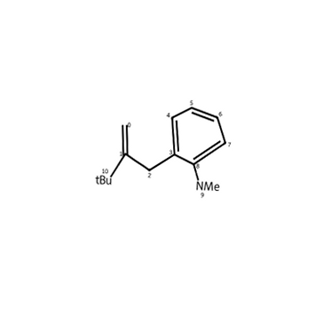 C=C(Cc1ccccc1NC)C(C)(C)C